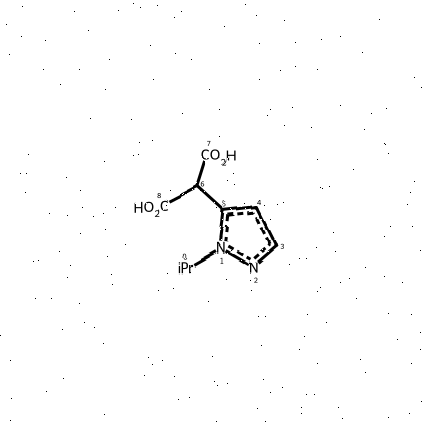 CC(C)n1nccc1C(C(=O)O)C(=O)O